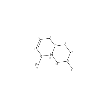 CCC1C=CCC2CCC(C)CN12